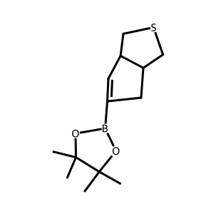 CC1(C)OB(C2=CC3CSCC3C2)OC1(C)C